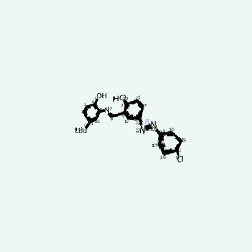 CC(C)(C)c1ccc(O)c(N=Cc2cc(/N=N/c3ccc(Cl)cc3)ccc2O)c1